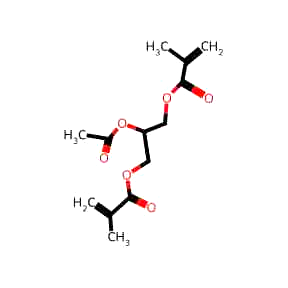 C=C(C)C(=O)OCC(COC(=O)C(=C)C)OC(C)=O